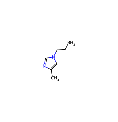 BCCn1cnc(C)c1